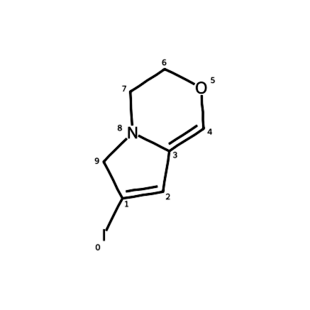 IC1=CC2=COCCN2C1